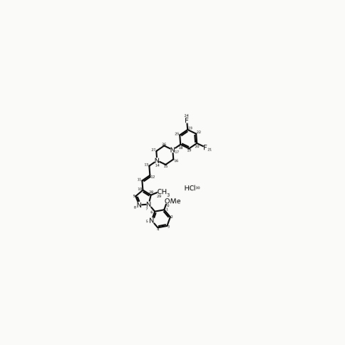 COc1cccnc1-n1ncc(C=CCN2CCN(c3cc(F)cc(F)c3)CC2)c1C.Cl